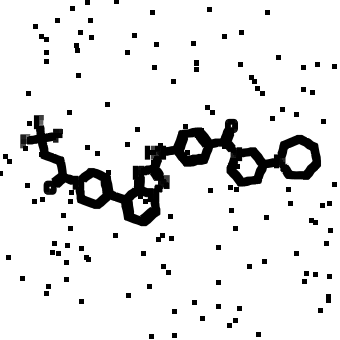 O=C(CCC(F)(F)F)N1CC=C(c2cccn3nc(Nc4ccc(C(=O)N5CCCC(N6CCCCCC6)C5)cc4)nc23)CC1